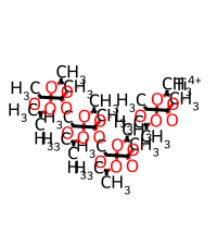 CC(=O)C(OC(C)C)(OC(C)C)C(=O)[O-].CC(=O)C(OC(C)C)(OC(C)C)C(=O)[O-].CC(=O)C(OC(C)C)(OC(C)C)C(=O)[O-].CC(=O)C(OC(C)C)(OC(C)C)C(=O)[O-].[Ti+4]